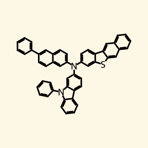 c1ccc(-c2ccc3cc(N(c4ccc5c(c4)sc4cc6ccccc6cc45)c4ccc5c6ccccc6n(-c6ccccc6)c5c4)ccc3c2)cc1